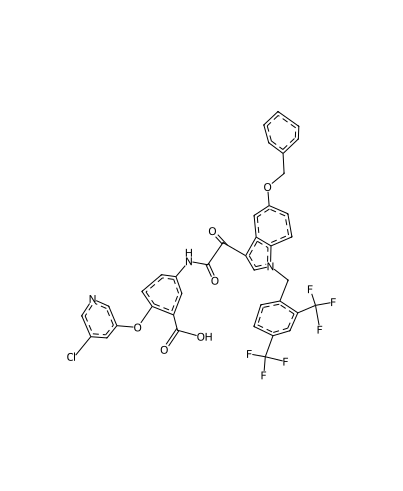 O=C(Nc1ccc(Oc2cncc(Cl)c2)c(C(=O)O)c1)C(=O)c1cn(Cc2ccc(C(F)(F)F)cc2C(F)(F)F)c2ccc(OCc3ccccc3)cc12